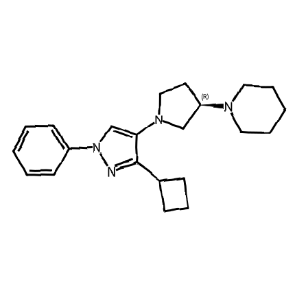 c1ccc(-n2cc(N3CC[C@@H](N4CCCCC4)C3)c(C3CCC3)n2)cc1